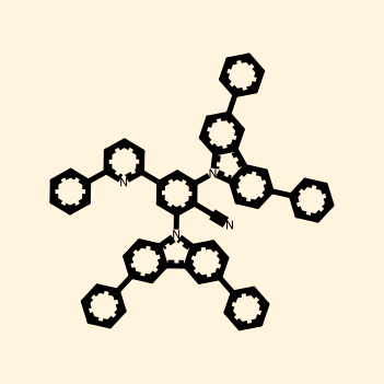 N#Cc1c(-n2c3ccc(-c4ccccc4)cc3c3cc(-c4ccccc4)ccc32)cc(-c2cccc(-c3ccccc3)n2)cc1-n1c2ccc(-c3ccccc3)cc2c2cc(-c3ccccc3)ccc21